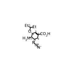 CCC(CC)O[C@@H]1C=C(C(=O)O)C[C@H](N=[N+]=[N-])[C@H]1N